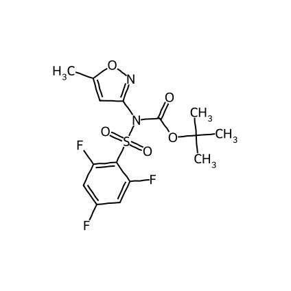 Cc1cc(N(C(=O)OC(C)(C)C)S(=O)(=O)c2c(F)cc(F)cc2F)no1